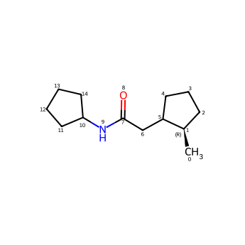 C[C@@H]1CCCC1CC(=O)NC1CCCC1